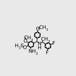 COc1ccc(C(NC(C)c2cc(F)cc(F)c2)c2cc(N)c(OC)c(OC)c2)cc1